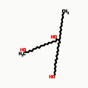 CCCCCCCCCCCCCCC(CCCCCCCCCCCCCCCCCO)C(O)CCCCCCCCCCCCCCCC(C)O